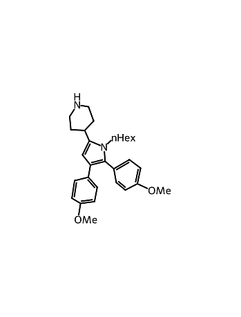 CCCCCCn1c(C2CCNCC2)cc(-c2ccc(OC)cc2)c1-c1ccc(OC)cc1